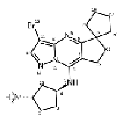 N[C@H]1CC[C@H](Nc2c3c(nc4c(Br)cnn24)C2(CCCC2)CC3)C1